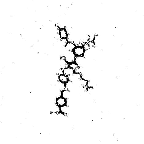 COC(=O)c1ccc(COc2ccc(Nc3c(C#N)c(-c4ccc(NS(=O)(=O)C(F)F)c(OC(C)c5ccc(F)cc5)c4)nn3COCC[Si](C)(C)C)nc2)cc1